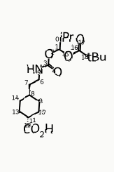 CC(C)C(OC(=O)NCC[C@H]1CC[C@H](C(=O)O)CC1)OC(=O)C(C)(C)C